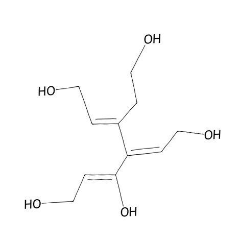 OCC=C(O)C(=CCO)C(=CCO)CCO